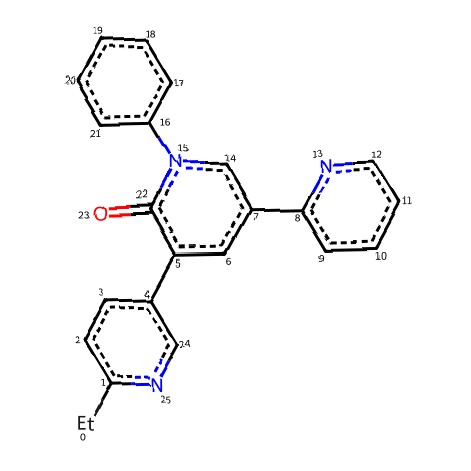 CCc1ccc(-c2cc(-c3ccccn3)cn(-c3ccccc3)c2=O)cn1